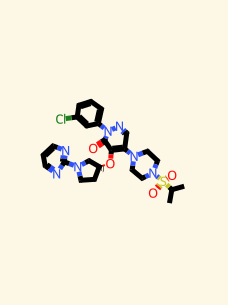 CC(C)S(=O)(=O)N1CCN(c2cnn(-c3cccc(Cl)c3)c(=O)c2O[C@@H]2CCN(c3ncccn3)C2)CC1